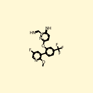 COc1ncc(F)cc1-c1ccc(C(F)(F)F)cc1Oc1ccc(=N)n(C=N)n1